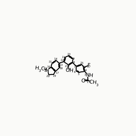 CC(=O)Nc1ccc(-c2cccc(-c3ccc4c(c3)CCN4C)c2O)cc1F